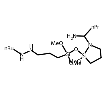 CCCCNNCCC[Si](OC)(OC)O[Si]1(OC)CCCN1C(N)CCC